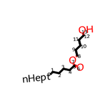 CCCCCCCCCCCC(=O)OCCCCCO